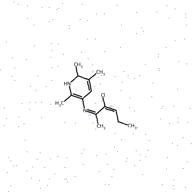 CC/C=C(Cl)\C(C)=N/C1=C(C)NC(C)C(C)=C1